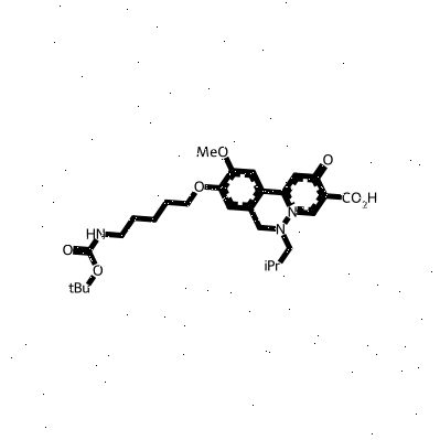 COc1cc2c(cc1OCCCCCNC(=O)OC(C)(C)C)CN(CC(C)C)n1cc(C(=O)O)c(=O)cc1-2